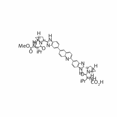 COC(=O)N[C@H](C(=O)N1[C@@H]2C[C@H]2C[C@H]1c1nc2cc(-c3ccc4nc(-c5ccc6[nH]c([C@@H]7C[C@H]8C[C@H]8N7C(=O)[C@@H](NC(=O)O)C(C)C)nc6c5)ccc4c3)ccc2[nH]1)C(C)C